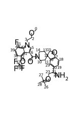 COCCn1cc(C(=O)N2CCC3(CC2)COc2ccc(C(N)COC(C)(C)C)cc23)c2c(OC(F)(F)F)ccc(F)c21